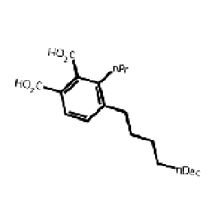 CCCCCCCCCCCCCCc1ccc(C(=O)O)c(C(=O)O)c1CCC